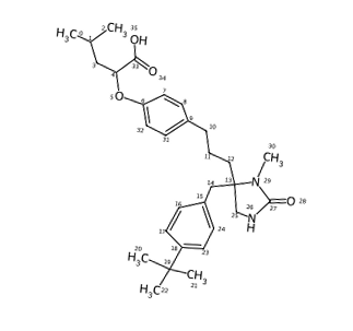 CC(C)CC(Oc1ccc(CCCC2(Cc3ccc(C(C)(C)C)cc3)CNC(=O)N2C)cc1)C(=O)O